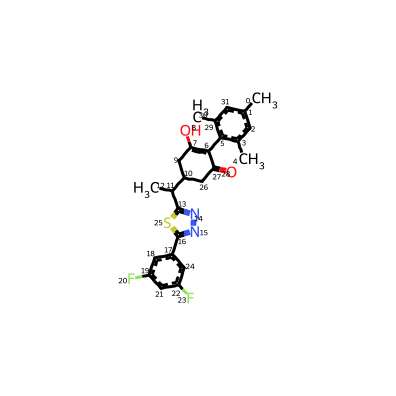 Cc1cc(C)c(C2=C(O)CC(C(C)c3nnc(-c4cc(F)cc(F)c4)s3)CC2=O)c(C)c1